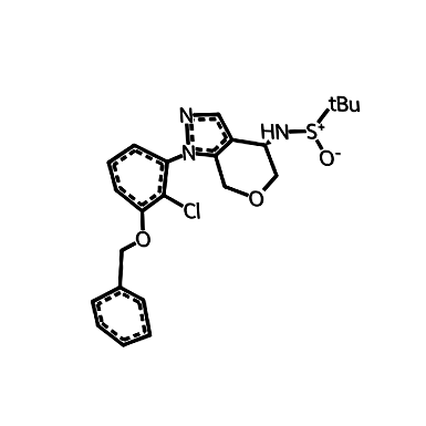 CC(C)(C)[S+]([O-])N[C@@H]1COCc2c1cnn2-c1cccc(OCc2ccccc2)c1Cl